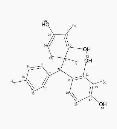 CC1=C(O)C(C)(C(c2ccc(C)cc2)c2ccc(O)c(C)c2O)CC=C1O